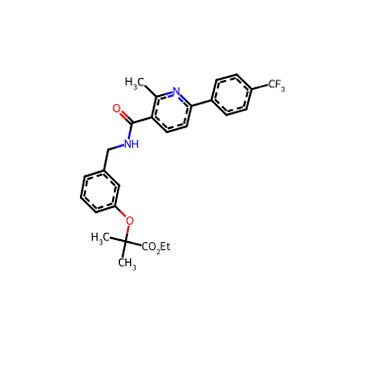 CCOC(=O)C(C)(C)Oc1cccc(CNC(=O)c2ccc(-c3ccc(C(F)(F)F)cc3)nc2C)c1